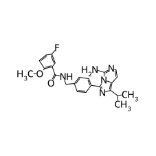 COc1ccc(F)cc1C(=O)NCc1ccc(-c2nc(C(C)C)c3ccnc(N)n23)cc1